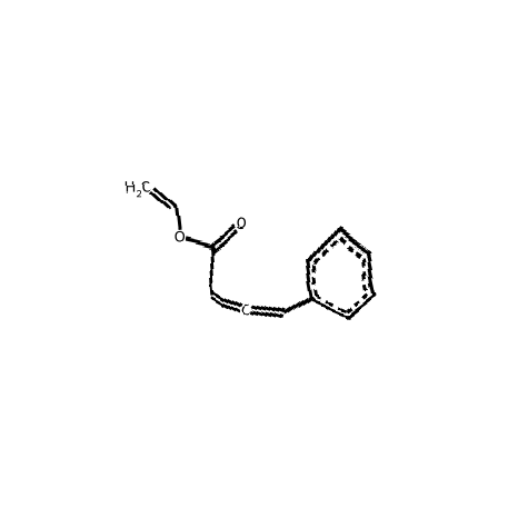 C=COC(=O)C=C=Cc1ccccc1